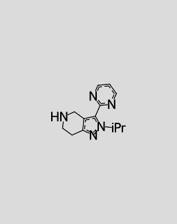 CC(C)n1nc2c(c1-c1ncccn1)CNCC2